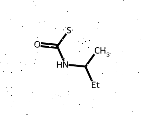 CCC(C)NC(=O)[S]